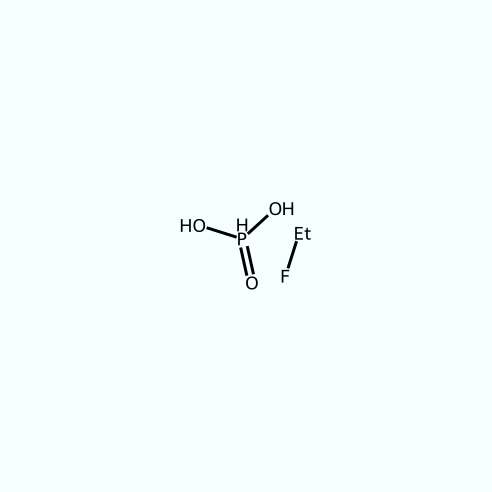 CCF.O=[PH](O)O